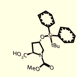 COC(=O)N1C[C@@H](O[Si](c2ccccc2)(c2ccccc2)C(C)(C)C)C[C@@H]1C(=O)O